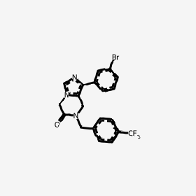 O=C1Cn2cnc(-c3cccc(Br)c3)c2CN1Cc1ccc(C(F)(F)F)cc1